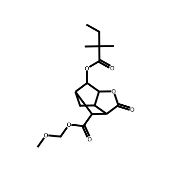 CCC(C)(C)C(=O)OC1C2CC3C1OC(=O)C3C2C(=O)OCOC